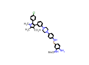 CONc1cc(SNc2ccc(N3CCN(c4cccc(-c5c(C(=O)O)c(C)n(C)c5-c5ccc(Cl)cc5)c4)CC3)cc2)ccc1N